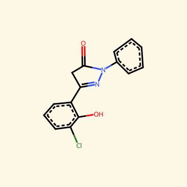 O=C1CC(c2cccc(Cl)c2O)=NN1c1ccccc1